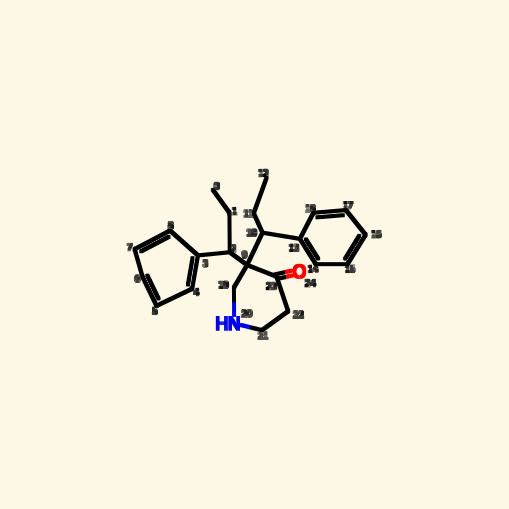 CCC(c1ccccc1)C1(C(CC)c2ccccc2)CNCCC1=O